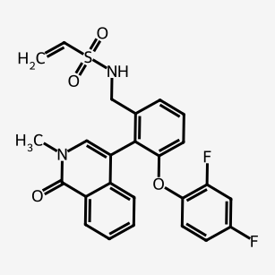 C=CS(=O)(=O)NCc1cccc(Oc2ccc(F)cc2F)c1-c1cn(C)c(=O)c2ccccc12